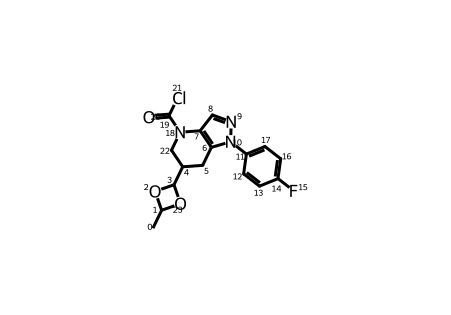 CC1OC(C2Cc3c(cnn3-c3ccc(F)cc3)N(C(=O)Cl)C2)O1